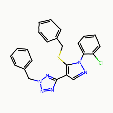 Clc1ccccc1-n1ncc(-c2nnn(Cc3ccccc3)n2)c1SCc1ccccc1